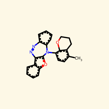 Cc1ccc(N2c3ccccc3N=Nc3c2oc2ccccc32)c2c1CCCO2